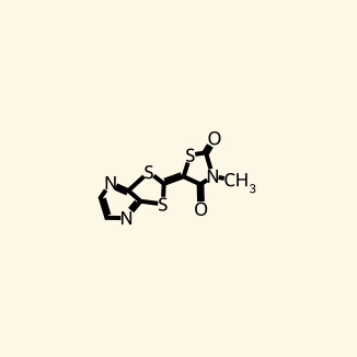 CN1C(=O)SC(=C2Sc3nccnc3S2)C1=O